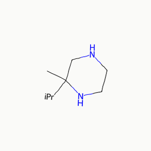 CC(C)C1(C)CNCCN1